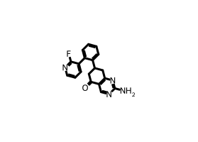 Nc1ncc2c(n1)CC(c1ccccc1-c1cccnc1F)CC2=O